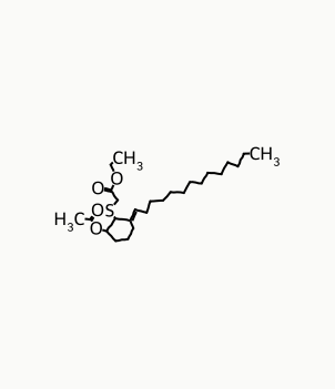 CCCCCCCCCCCCCC=C1CCCC(OC(C)=O)C1SCC(=O)OCC